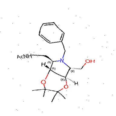 CC(=O)NC[C@@H]1[C@H]2OC(C)(C)C(C)(C)O[C@@H]2[C@@H](CO)N1Cc1ccccc1